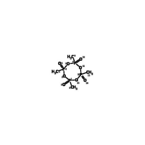 CP1(=O)OP(C)(=O)OP(C)(=O)OP(C)(=O)O1